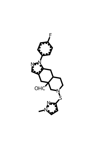 Cn1ccc(SN2CCC3Cc4c(cnn4-c4ccc(F)cc4)CC3(C=O)C2)n1